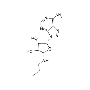 CCCN[C@H]1O[C@@H](n2cnc3c(N)ncnc32)[C@@H](O)C1O